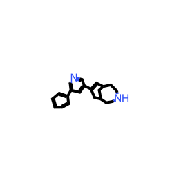 C1=C(c2cncc(-c3ccccc3)c2)CC2CCNCCC1C2